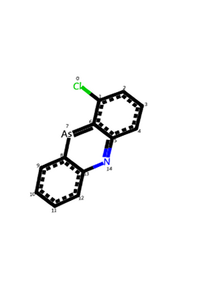 Clc1cccc2c1=[As]c1ccccc1N=2